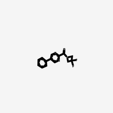 O=C(c1ncc(-c2ccccc2)cn1)N1CC(F)(F)C1